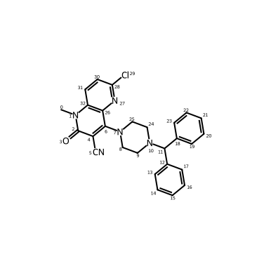 Cn1c(=O)c(C#N)c(N2CCN(C(c3ccccc3)c3ccccc3)CC2)c2nc(Cl)ccc21